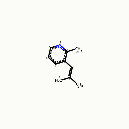 CC(C)=Cc1cccnc1C